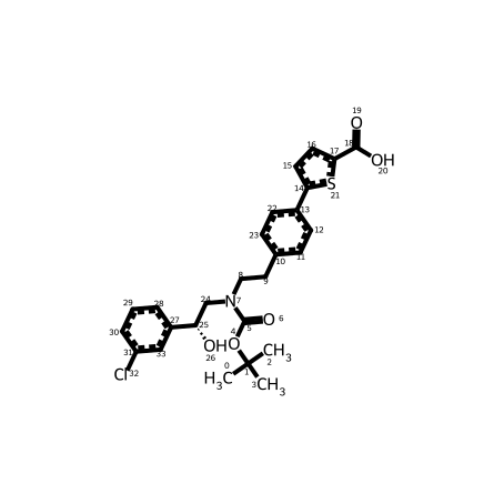 CC(C)(C)OC(=O)N(CCc1ccc(-c2ccc(C(=O)O)s2)cc1)C[C@H](O)c1cccc(Cl)c1